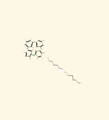 CCCCCCCCCCCCCCCC[NH2+]CCCCCCCCCCCCCCCC.Fc1c(F)c(F)c([B-](c2c(F)c(F)c(F)c(F)c2F)(c2c(F)c(F)c(F)c(F)c2F)c2c(F)c(F)c(F)c(F)c2F)c(F)c1F